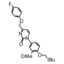 COc1cc(-n2ccc(COc3ccc(F)cc3)nc2=O)ccc1OCC(C)(C)C